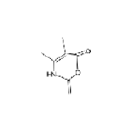 C=C1NC(C)=C(C)C(=O)O1